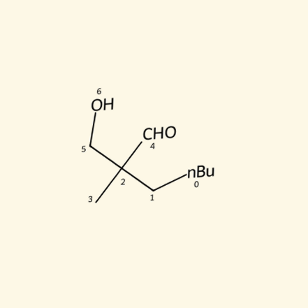 CCCCCC(C)(C=O)CO